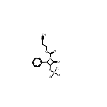 C#CCCOC(=O)N1C(=O)C(O[Si](CC)(CC)CC)C1c1ccccc1